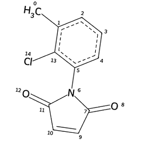 Cc1cccc(N2C(=O)C=CC2=O)c1Cl